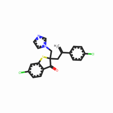 C=C(CC1(Cn2ccnc2)Sc2cc(Cl)ccc2C1=O)c1ccc(Cl)cc1